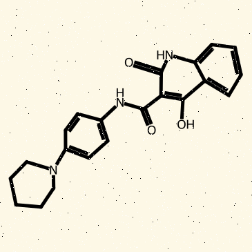 O=C(Nc1ccc(N2CCCCC2)cc1)c1c(O)c2ccccc2[nH]c1=O